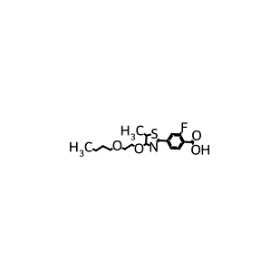 CCCCOCCOC1N=C(c2ccc(C(=O)O)c(F)c2)SC1C